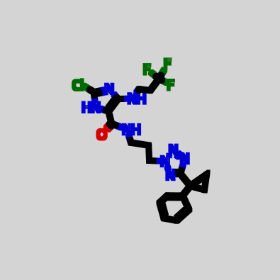 O=C(NCCCn1nnc(C2(c3ccccc3)CC2)n1)c1[nH]c(Cl)nc1NCCC(F)(F)F